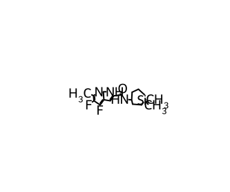 Cc1nc2[nH]c(C(=O)NC3CCC[Si](C)(C)CC3)cc2c(F)c1F